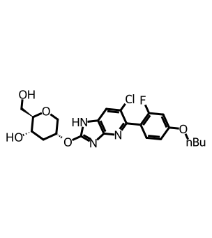 CCCCOc1ccc(-c2nc3nc(O[C@H]4CO[C@H](CO)[C@@H](O)C4)[nH]c3cc2Cl)c(F)c1